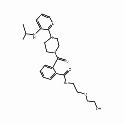 CC(C)Nc1cccnc1N1CCN(C(=O)c2ccccc2C(=O)NCCOCCO)CC1